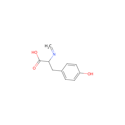 C=NC(Cc1ccc(O)cc1)C(=O)O